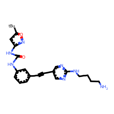 CC(C)(C)c1cc(NC(=O)Nc2cccc(C#Cc3cnc(NCCCCN)nc3)c2)no1